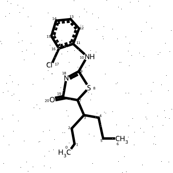 CCCC(CCC)C1SC(Nc2ccccc2Cl)=NC1=O